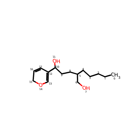 CCCCCC(CO)CCC(O)C1=COCC=C1